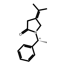 CC(C)=C1CC(=O)N([C@H](C)c2ccccc2)C1